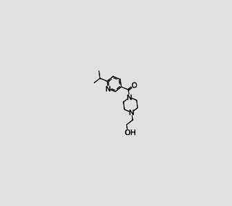 CC(C)c1ccc(C(=O)N2CCN(CCO)CC2)cn1